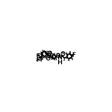 O=C(Cc1ccc(F)cc1)NO[C@@H]1CCN(S(=O)(=O)c2cccc(C(F)(F)F)c2)C1